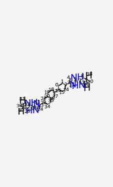 c1cc(-c2c[nH]c([C@@H]3C[C@H]4C[C@H]4N3)n2)ccc1-c1ccc2cc(-c3c[nH]c([C@@H]4C[C@H]5C[C@H]5N4)n3)ccc2c1